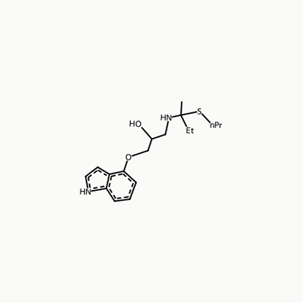 CCCSC(C)(CC)NCC(O)COc1cccc2[nH]ccc12